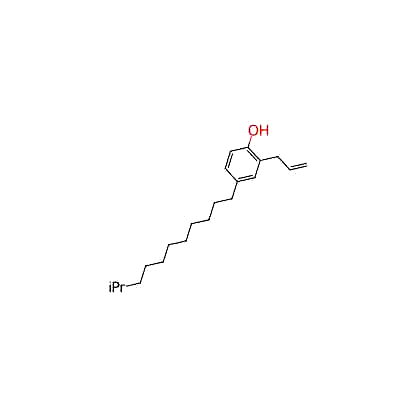 C=CCc1cc(CCCCCCCCCC(C)C)ccc1O